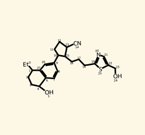 CCC1CCC(O)c2ccc(C3CCC(C#N)C3CCCc3ncc(CO)s3)cc21